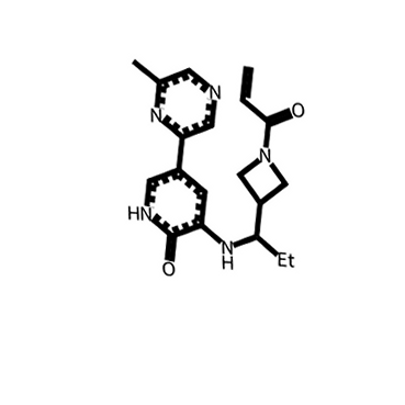 C=CC(=O)N1CC(C(CC)Nc2cc(-c3cncc(C)n3)c[nH]c2=O)C1